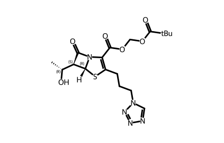 C[C@@H](O)[C@H]1C(=O)N2C(C(=O)OCOC(=O)C(C)(C)C)=C(CCCn3cnnn3)S[C@H]12